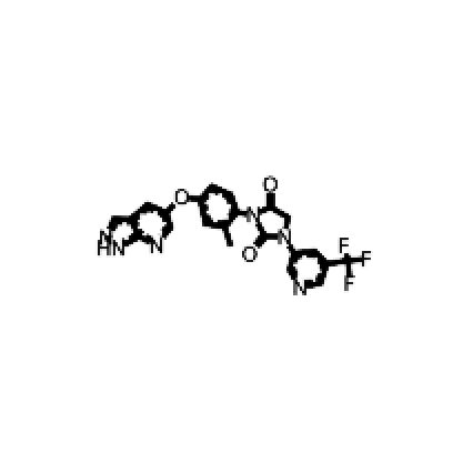 Cc1cc(Oc2cnc3[nH]ncc3c2)ccc1N1C(=O)CN(c2cncc(C(F)(F)F)c2)C1=O